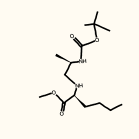 CCCC[C@H](NC[C@@H](C)NC(=O)OC(C)(C)C)C(=O)OC